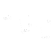 CCC(C=O)CC.COC(C)OC